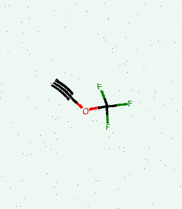 [C]#COC(F)(F)F